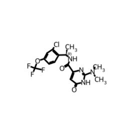 C[C@@H](NC(=O)c1cc(=O)[nH]c(N(C)C)n1)c1ccc(OC(F)(F)F)cc1Cl